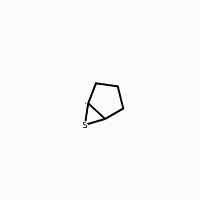 C1C[C]2SC2C1